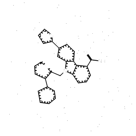 NC(=O)c1cccc2c1c1[c]cc(-c3cccs3)cc1n2Cc1ccccc1-c1ccccc1